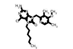 CCCCCCn1c(=O)n(Cc2ncc(C)c(OC)c2C)c2nc(N)nc(Cl)c21